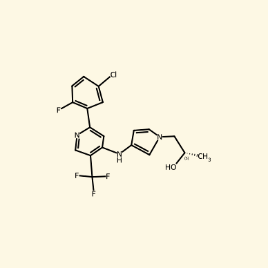 C[C@H](O)Cn1ccc(Nc2cc(-c3cc(Cl)ccc3F)ncc2C(F)(F)F)c1